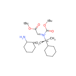 CC(C)(C)OC(=O)C=[N+](C(=O)OC(C)(C)C)[C@@](C)(C(=O)O)C1CCCCC1.NC1CCCCC1